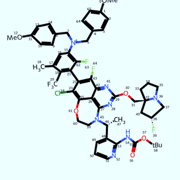 COc1ccc(CN(Cc2ccc(OC)cc2)c2cc(C)c(C(F)(F)F)c(-c3c(Cl)c4c5c(nc(OC[C@@]67CCCN6C[C@H](F)C7)nc5c3F)N([C@H](C)c3cccnc3NC(=O)OC(C)(C)C)CCO4)c2F)cc1